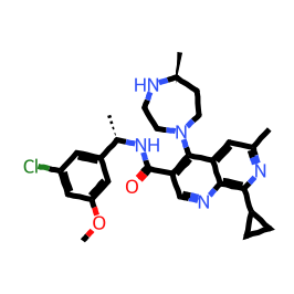 COc1cc(Cl)cc([C@H](C)NC(=O)c2cnc3c(C4CC4)nc(C)cc3c2N2CCN[C@@H](C)CC2)c1